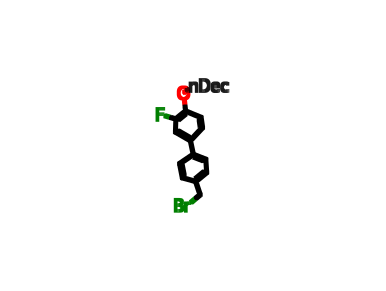 CCCCCCCCCCOc1ccc(-c2ccc(CBr)cc2)cc1F